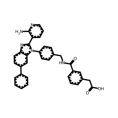 Nc1ncccc1-c1nc2ccc(-c3ccccc3)cc2n1-c1ccc(CNC(=O)c2cccc(CC(=O)O)c2)cc1